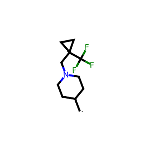 [CH2]C1CCN(CC2(C(F)(F)F)CC2)CC1